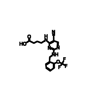 N#Cc1cnc(NCc2ccccc2OC(F)(F)F)nc1NCCCC(=O)O